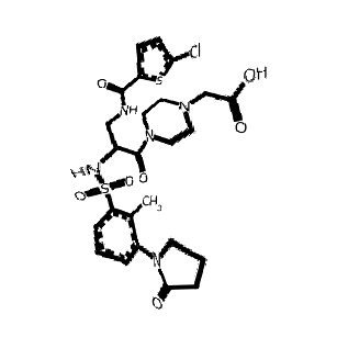 Cc1c(N2CCCC2=O)cccc1S(=O)(=O)NC(CNC(=O)c1ccc(Cl)s1)C(=O)N1CCN(CC(=O)O)CC1